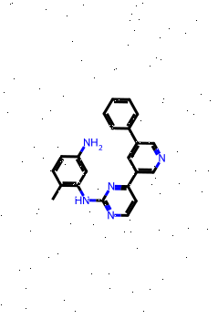 Cc1ccc(N)cc1Nc1nccc(-c2cncc(-c3ccccc3)c2)n1